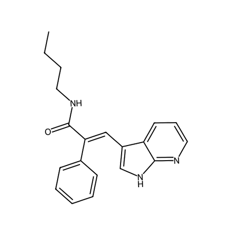 CCCCNC(=O)/C(=C/c1c[nH]c2ncccc12)c1ccccc1